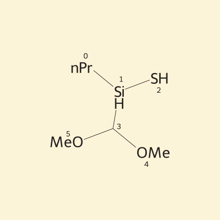 CCC[SiH](S)C(OC)OC